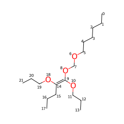 CCCCCCOCOC(OCCC)=C(CCC)OCCC